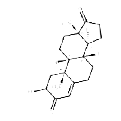 CCC1C[C@@]2(C)C(=CC1=O)CC[C@@H]1[C@H]2CC[C@]2(C)C(=O)CC[C@@H]12